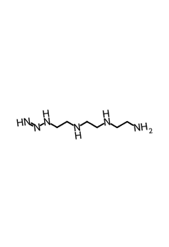 N=NNCCNCCNCCN